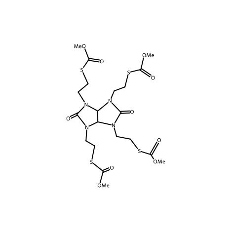 COC(=O)SCCN1C(=O)N(CCSC(=O)OC)C2C1N(CCSC(=O)OC)C(=O)N2CCSC(=O)OC